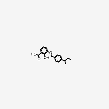 CCC(C)c1ccc(COc2cccc(C(=O)O)c2O)cc1